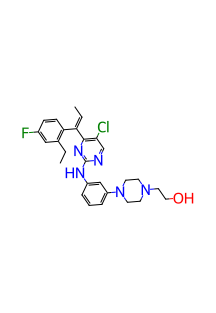 C/C=C(\c1ccc(F)cc1CC)c1nc(Nc2cccc(N3CCN(CCO)CC3)c2)ncc1Cl